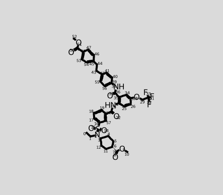 CCN([C@H]1CC[C@H](C(=O)OC)CC1)S(=O)(=O)c1cccc(C(=O)Nc2ccc(OCC(F)(F)F)cc2C(=O)Nc2ccc(CCc3ccc(C(=O)OC)cc3)cc2)c1